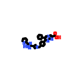 O=C(O)c1cn2cc(-c3ccccc3)c(-c3ccc(CN4CC(c5n[nH]c(-c6ccccn6)n5)C4)cc3)nc2n1